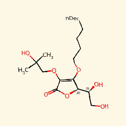 CCCCCCCCCCCCCCOC1=C(OCC(C)(C)O)C(=O)O[C@@H]1[C@@H](O)CO